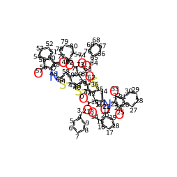 O=C(OCc1ccccc1)C1(C(=O)OCc2ccccc2)C(N=c2c(=O)c3ccccc3c2=O)=Cc2sc3c4c(sc3c21)-c1sc(N=c2c(=O)c3ccccc3c2=O)cc1C4(C(=O)OCc1ccccc1)C(=O)OCc1ccccc1